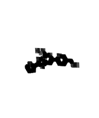 Nc1nc(-c2ccc(CO)cn2)cc2nc(-c3ccco3)nn12